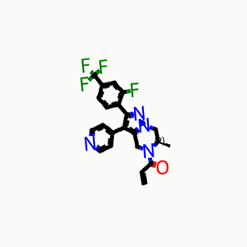 C=CC(=O)N1Cc2c(-c3ccncc3)c(-c3ccc(C(F)(F)F)cc3F)nn2C[C@H]1C